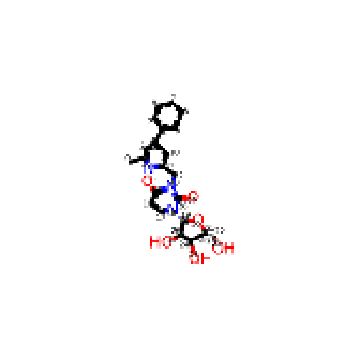 Cc1cc(-c2ccccc2)cc(Cn2c(=O)ccn([C@@H]3O[C@H](CO)C(O)C3O)c2=O)n1